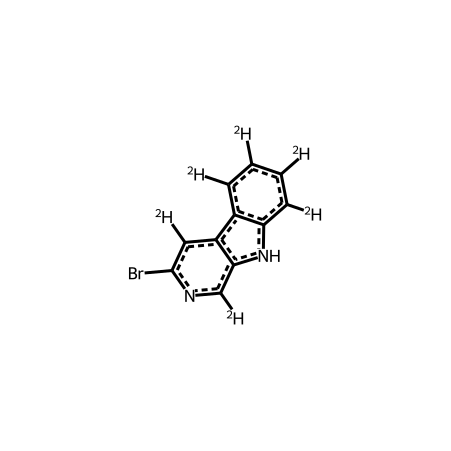 [2H]c1c([2H])c([2H])c2c([nH]c3c([2H])nc(Br)c([2H])c32)c1[2H]